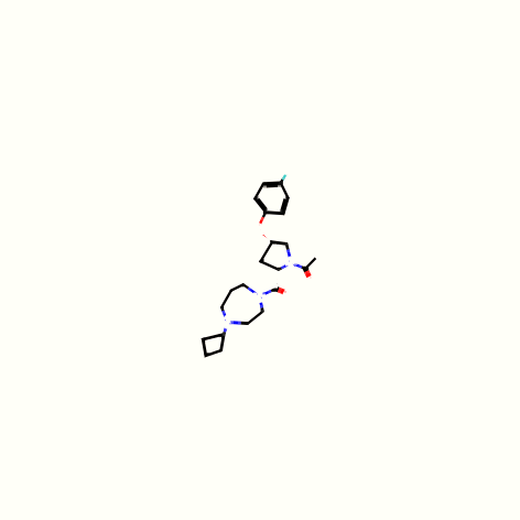 CC(=O)N1C[C@H](Oc2ccc(F)cc2)C[C@H]1C(=O)N1CCCN(C2CCC2)CC1